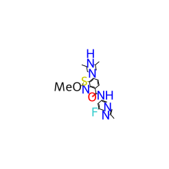 COc1nc2c(C(=O)Nc3cc(F)c4nc(C)cn4c3)ccc(N3CC(C)NC(C)C3)c2s1